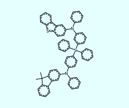 CC1(C)c2ccccc2-c2cc(N(c3ccccc3)c3ccc([Si](c4ccccc4)(c4ccccc4)c4cccc(N(c5ccccc5)c5ccc6sc7ccccc7c6c5)c4)cc3)ccc21